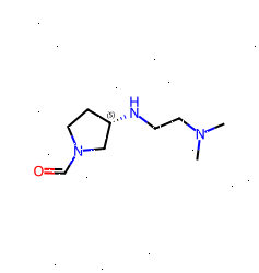 CN(C)CCN[C@H]1CCN(C=O)C1